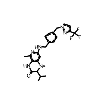 Cc1nc(NCc2ccc(Cn3ccc(C(F)(F)F)n3)cc2)cc2c1NC(=O)C(C(C)C)N2C